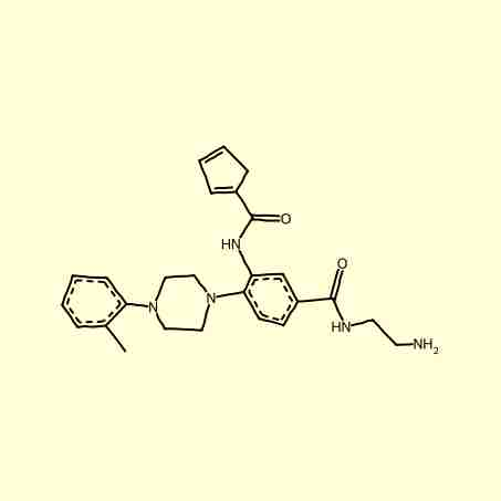 Cc1ccccc1N1CCN(c2ccc(C(=O)NCCN)cc2NC(=O)C2=CC=CC2)CC1